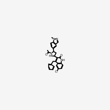 CC(=O)N1NC(c2c(Cc3ccccc3)c3cc(Cl)ccc3[nH]c2=O)CC1c1ccc2c(cnn2C)c1